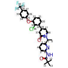 CC(c1cccc(NC(=O)C(C)(C)C)n1)n1ccc(-c2cccc(Oc3ccc(C(F)(F)F)cc3)c2Cl)cc1=O